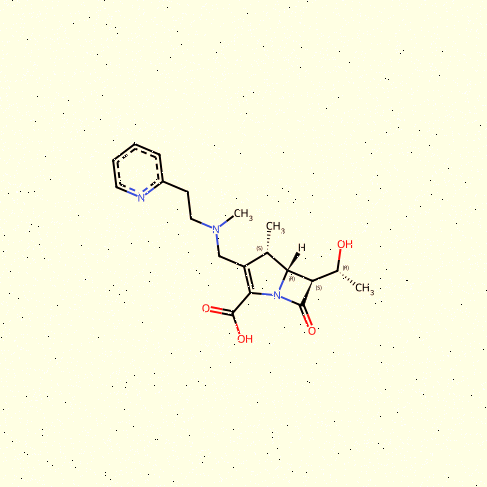 C[C@@H](O)[C@H]1C(=O)N2C(C(=O)O)=C(CN(C)CCc3ccccn3)[C@H](C)[C@H]12